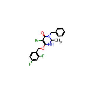 CC1NC(OCc2ccc(F)cc2F)=C(Br)C(=O)N1Cc1ccccc1